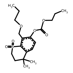 CCCOCc1c(OC(=O)OCCC)ccc2c1S(=O)(=O)CCC2(C)C